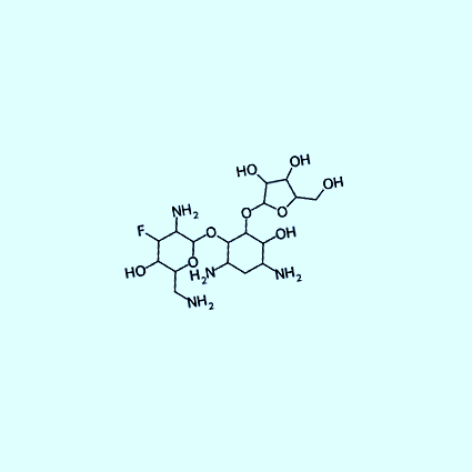 NCC1OC(OC2C(N)CC(N)C(O)C2OC2OC(CO)C(O)C2O)C(N)C(F)C1O